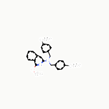 COc1ccc(CN(Cc2ccc(OC)cc2)c2cc3ccccc3c(OC(C)(C)C)n2)cc1